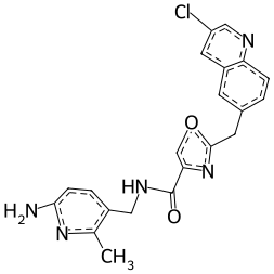 Cc1nc(N)ccc1CNC(=O)c1coc(Cc2ccc3ncc(Cl)cc3c2)n1